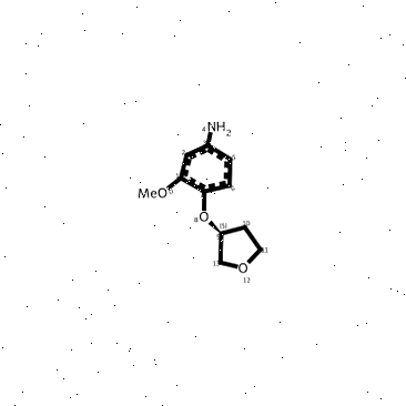 COc1cc(N)ccc1O[C@H]1CCOC1